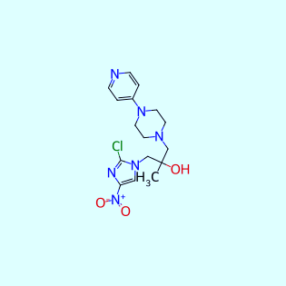 CC(O)(CN1CCN(c2ccncc2)CC1)Cn1cc([N+](=O)[O-])nc1Cl